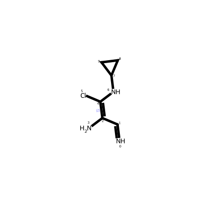 N=C/C(N)=C(/Cl)NC1CC1